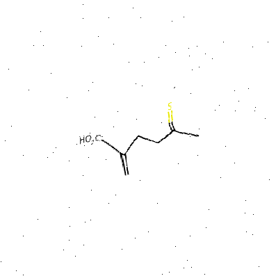 C=C(CCC(C)=S)C(=O)O